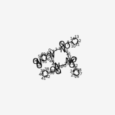 CC1CCN(C(=O)OCc2ccccc2)CCCN(C(=O)OCc2ccccc2)CCCN(C(=O)OCc2ccccc2)CCCN1Cc1ccc([N+](=O)[O-])cc1